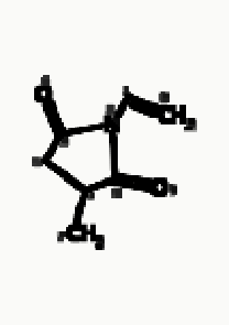 C=CN1C(=O)CC(C)C1=O